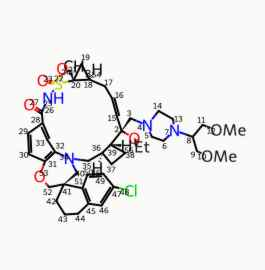 CCO[C@@]1(CN2CCN(C(COC)COC)CC2)/C=C/C[C@@H]2C[C@@]2(C)S(=O)(=O)NC(=O)c2ccc3c(c2)N(C[C@@H]2CC[C@H]21)C[C@@]1(CCCc2cc(Cl)ccc21)CO3